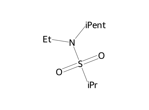 CCCC(C)N(CC)S(=O)(=O)C(C)C